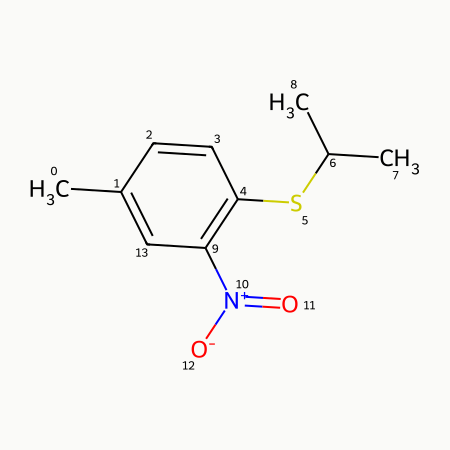 Cc1ccc(SC(C)C)c([N+](=O)[O-])c1